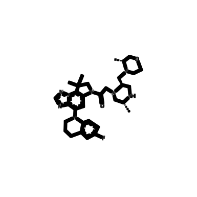 C[C@@H]1CN(CC(=O)N2CC(C)(C)c3c2cc(N2CCCc4cc(F)ccc42)c2ncnn32)[C@@H](CN2CCOC[C@H]2C)CN1